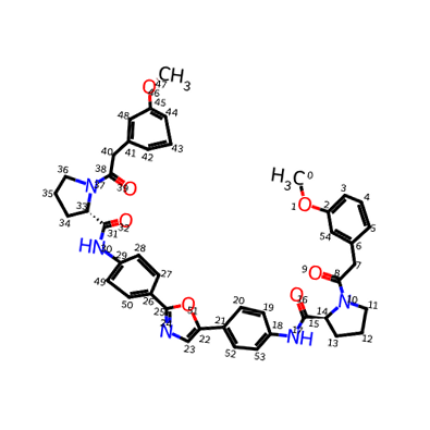 COc1cccc(CC(=O)N2CCC[C@H]2C(=O)Nc2ccc(-c3cnc(-c4ccc(NC(=O)[C@@H]5CCCN5C(=O)Cc5cccc(OC)c5)cc4)o3)cc2)c1